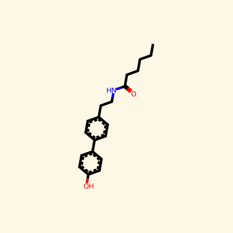 CCCCCC(=O)NCCc1ccc(-c2ccc(O)cc2)cc1